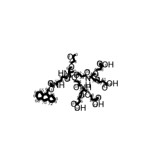 CC(=O)CCOCC(COCCC(=O)NC(COCCC(=O)O)COCCC(=O)O)(COCCC(=O)NC(COCCC(=O)O)COCCC(=O)O)NC(=O)CCCNC(=O)OCc1c2ccccc2cc2ccccc12